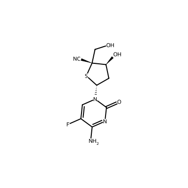 N#C[C@]1(CO)S[C@@H](n2cc(F)c(N)nc2=O)C[C@@H]1O